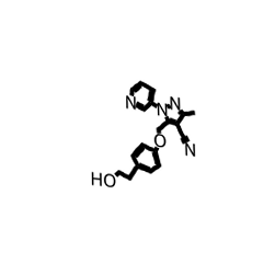 Cc1nn(-c2cccnc2)c(COc2ccc(CCO)cc2)c1C#N